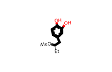 CC[C@@H](Cc1ccc(O)c(O)c1)OC